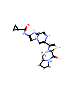 O=C(Nc1cn2cc(-c3csc(C(=O)N4CCCC4C(F)(F)F)n3)ncc2n1)C1CC1